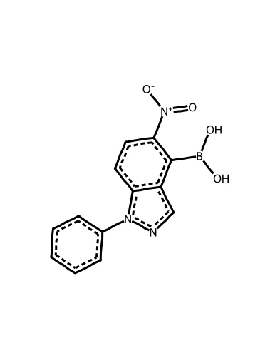 O=[N+]([O-])c1ccc2c(cnn2-c2ccccc2)c1B(O)O